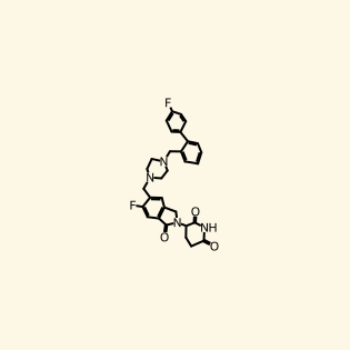 O=C1CCC(N2Cc3cc(CN4CCN(Cc5ccccc5-c5ccc(F)cc5)CC4)c(F)cc3C2=O)C(=O)N1